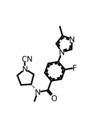 Cc1cn(-c2ccc(C(=O)N(C)[C@@H]3CCN(C#N)C3)cc2F)cn1